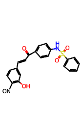 O=Nc1ccc(/C=C/C(=O)c2ccc(NS(=O)(=O)c3ccccc3)cc2)cc1O